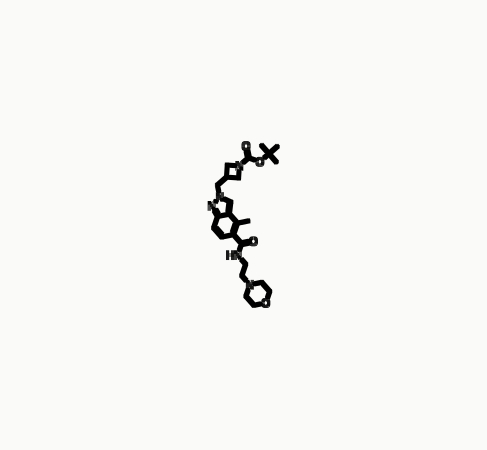 Cc1c(C(=O)NCCN2CCOCC2)ccc2nn(CC3CN(C(=O)OC(C)(C)C)C3)cc12